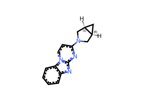 c1ccc2c(c1)nc1nc(N3C[C@H]4C[C@H]4C3)ccn12